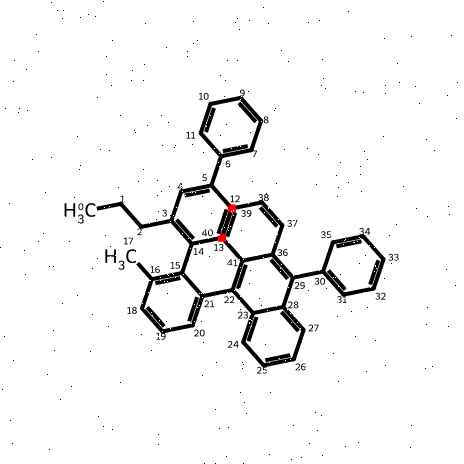 CCCc1cc(-c2ccccc2)ccc1-c1c(C)cccc1-c1c2ccccc2c(-c2ccccc2)c2ccccc12